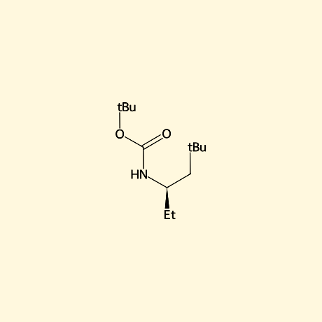 CC[C@H](CC(C)(C)C)NC(=O)OC(C)(C)C